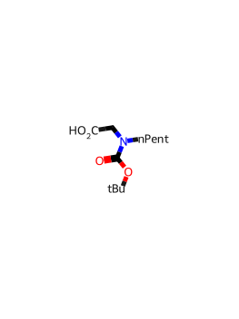 CCCCCN(CC(=O)O)C(=O)OC(C)(C)C